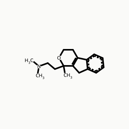 CN(C)CCC1(C)OCCC2=C1Cc1ccccc12